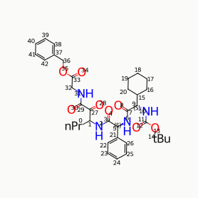 CCCC(NC(=O)[C@@H](NC(=O)[C@@H](NC(=O)OC(C)(C)C)C1CCCCC1)c1ccccc1)C(=O)C(=O)NCC(=O)OCc1ccccc1